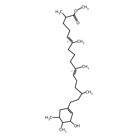 COC(=O)C(C)CC/C=C(\C)CCC/C(C)=C/CCC(C)CCC1=CC(O)C(C)C(C)C1